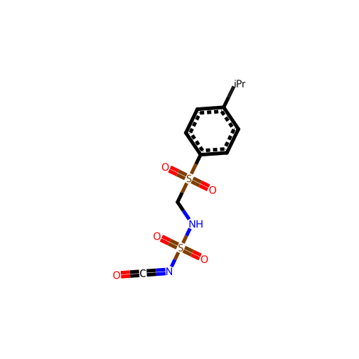 CC(C)c1ccc(S(=O)(=O)CNS(=O)(=O)N=C=O)cc1